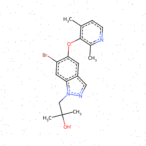 Cc1ccnc(C)c1Oc1cc2cnn(CC(C)(C)O)c2cc1Br